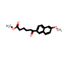 COC(=O)CCCCC(=O)c1ccc2cc(OC)ccc2c1